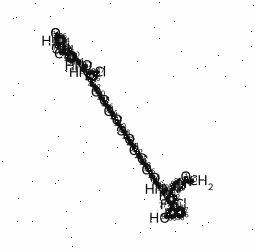 C=CC(=O)N1CCN(c2nc(NCCOCCOCCOCCOCCOCCOCCOCCOCCOCCOCCc3cc(Cl)cc(NC(=O)NCc4ccc5c(c4)CN(C4CCC(=O)NC4=O)C5=O)c3)nc3c(F)c(-c4cc(O)cc5ccccc45)c(Cl)cc23)CC1